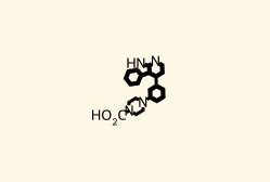 O=C(O)N1CCN(c2cccc(-c3ccnc4[nH]c5ccccc5c34)c2)CC1